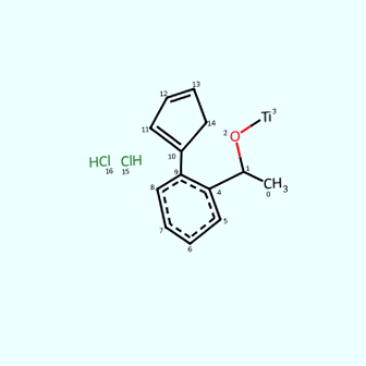 CC([O][Ti])c1ccccc1C1=CC=CC1.Cl.Cl